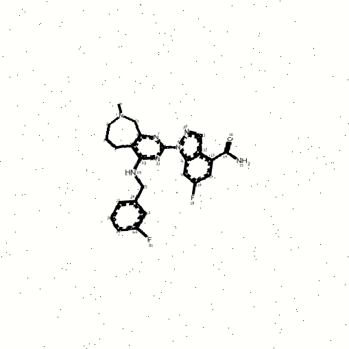 CN1CCCc2c(nc(-n3ncc4c(C(N)=O)cc(F)cc43)nc2NCc2cccc(F)c2)C1